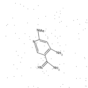 CNc1cc(N)c(C(=N)N)cn1